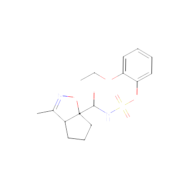 CCOc1ccccc1OS(=O)(=O)NC(O)C12CCCC1C(C)=NO2